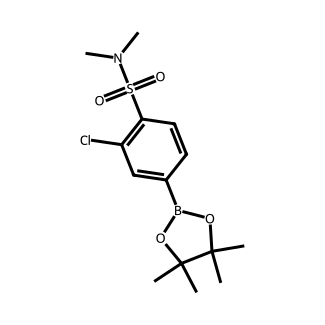 CN(C)S(=O)(=O)c1ccc(B2OC(C)(C)C(C)(C)O2)cc1Cl